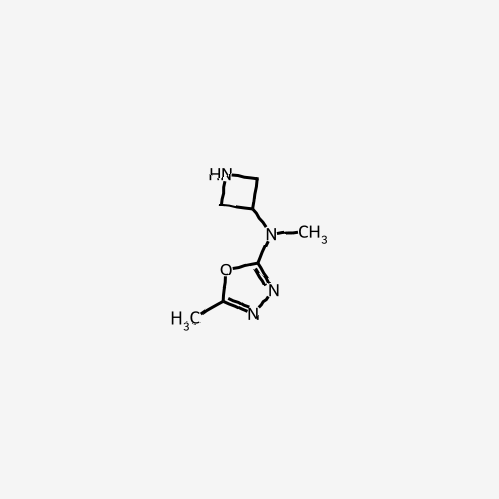 Cc1nnc(N(C)C2CNC2)o1